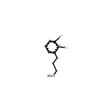 COCCCc1cccc(F)c1F